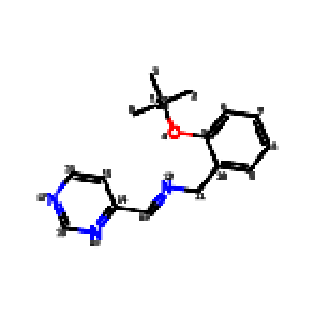 C[Si](C)(C)Oc1ccccc1CN=Cc1ccncn1